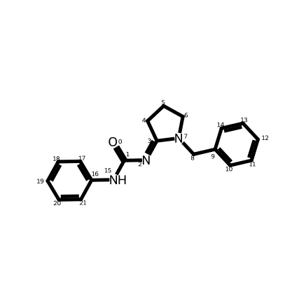 O=C(N=C1CCCN1Cc1ccccc1)Nc1ccccc1